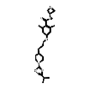 Cc1cc(OCCCC2CCN(c3nc(C(C)C)no3)CC2)cc(C)c1C(=O)NC1COC1